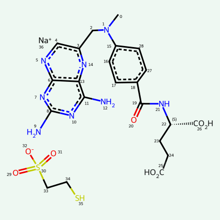 CN(Cc1cnc2nc(N)nc(N)c2n1)c1ccc(C(=O)N[C@@H](CCC(=O)O)C(=O)O)cc1.O=S(=O)([O-])CCS.[Na+]